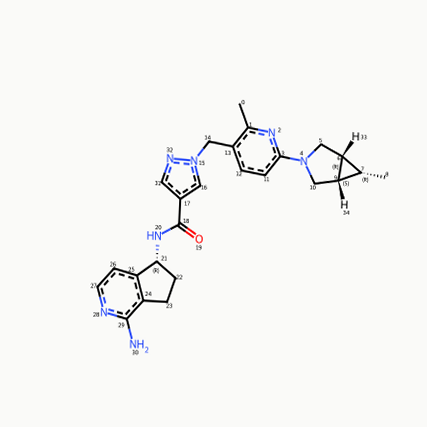 Cc1nc(N2C[C@@H]3[C@H](C)[C@@H]3C2)ccc1Cn1cc(C(=O)N[C@@H]2CCc3c2ccnc3N)cn1